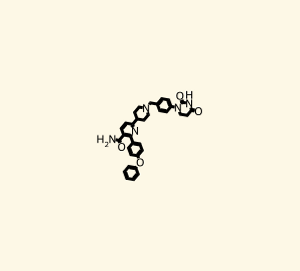 NC(=O)c1ccc(C2CCN(Cc3ccc(N4CCC(=O)NC4=O)cc3)CC2)nc1-c1ccc(Oc2ccccc2)cc1